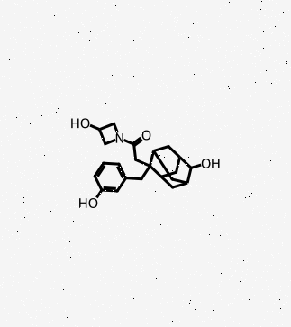 O=C(CC1(Cc2cccc(O)c2)C2CC3CC1CC(C2)C3O)N1CC(O)C1